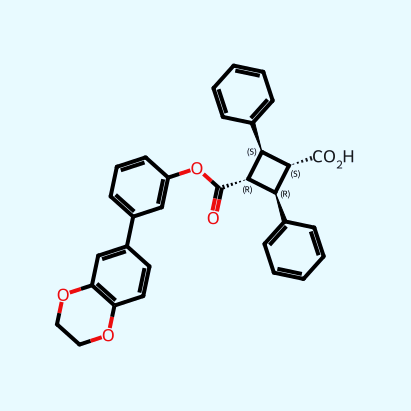 O=C(O)[C@@H]1[C@@H](c2ccccc2)[C@H](C(=O)Oc2cccc(-c3ccc4c(c3)OCCO4)c2)[C@H]1c1ccccc1